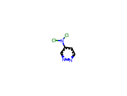 ClN(Cl)c1ccnnc1